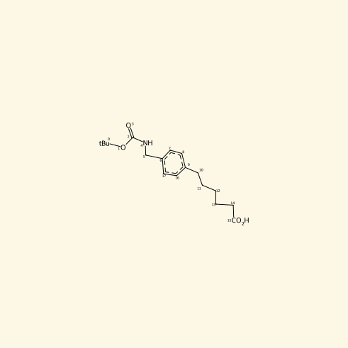 CC(C)(C)OC(=O)NCc1ccc(CCCCCC(=O)O)cc1